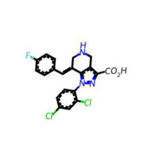 O=C(O)c1nn(-c2ccc(Cl)cc2Cl)c2c1CNC/C2=C\c1ccc(F)cc1